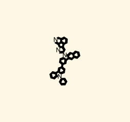 c1ccc(-n2c3ccccc3c3cc(-c4ccc5c(c4)c4cc6ccccc6cc4n5-c4cnc5c(c4)-c4cccc6cncc-5c46)ccc32)cc1